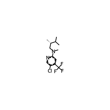 CC(C)[C@@H](C)CN(C)c1cc(C(F)(F)F)c(Cl)cn1